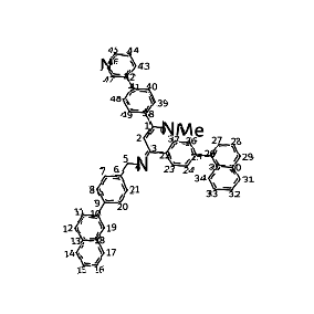 CN/C(=C\C(=N/Cc1ccc(-c2ccc3ccccc3c2)cc1)c1ccc(-c2cccc3ccccc23)cc1)c1ccc(-c2cccnc2)cc1